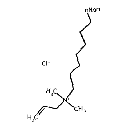 C=CC[N+](C)(C)CCCCCCCCCCCCCCCC.[Cl-]